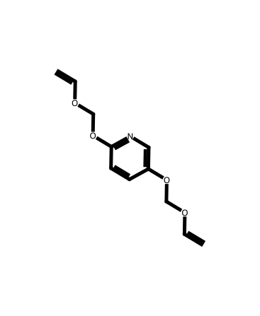 C=COCOc1ccc(OCOC=C)nc1